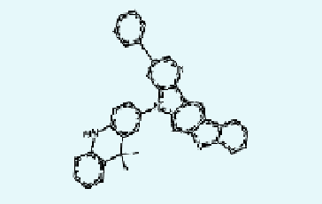 CC1(C)c2ccccc2Nc2ccc(-n3c4cc5sc6ccccc6c5cc4c4ncc(-c5ccccc5)cc43)cc21